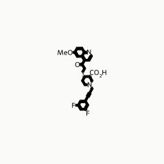 COc1ccc2nccc(C(=O)CC[C@H]3CCN(CC#Cc4cc(F)cc(F)c4)C[C@H]3C(=O)O)c2c1